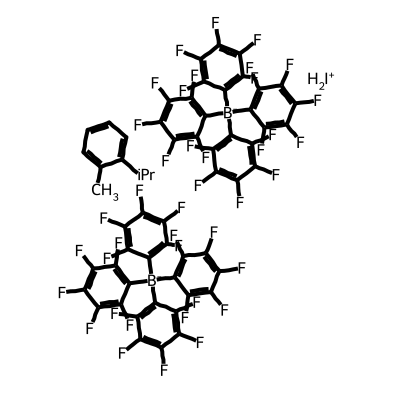 Cc1ccccc1[C+](C)C.Fc1c(F)c(F)c([B-](c2c(F)c(F)c(F)c(F)c2F)(c2c(F)c(F)c(F)c(F)c2F)c2c(F)c(F)c(F)c(F)c2F)c(F)c1F.Fc1c(F)c(F)c([B-](c2c(F)c(F)c(F)c(F)c2F)(c2c(F)c(F)c(F)c(F)c2F)c2c(F)c(F)c(F)c(F)c2F)c(F)c1F.[IH2+]